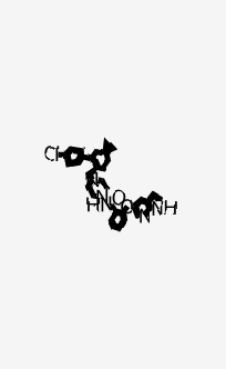 O=C(NN1CCN(CC2=C(c3ccc(Cl)cc3)CC3(CC2)CC3)CC1)c1ccccc1Oc1cnc2[nH]ccc2c1